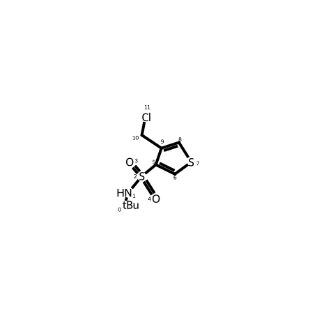 CC(C)(C)NS(=O)(=O)c1cscc1CCl